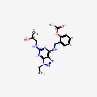 CCn1nnc2c(NCc3ccccc3OC(C)=O)nc(NCC(C)O)nc21